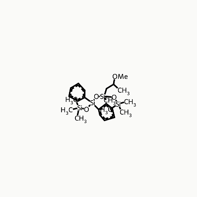 COC(C)C[Si](C)(O[Si](C)(C)C)O[Si](O[Si](C)(C)C)(c1ccccc1)c1ccccc1